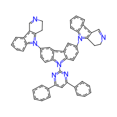 C1=NCCc2c1c1ccccc1n2-c1ccc2c(c1)c1cc(-n3c4c(c5ccccc53)C=NCC4)ccc1n2-c1nc(-c2ccccc2)cc(-c2ccccc2)n1